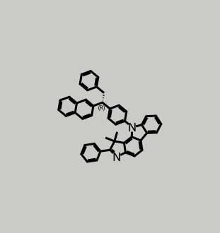 CC1(C)C(c2ccccc2)=Nc2ccc3c4ccccc4n(-c4ccc([C@@H](Cc5ccccc5)c5ccc6ccccc6c5)cc4)c3c21